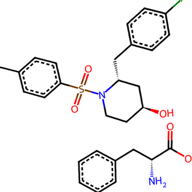 Cc1ccc(S(=O)(=O)N2CC[C@H](O)C[C@H]2Cc2ccc(F)cc2)cc1.N[C@H](Cc1ccccc1)C(=O)O